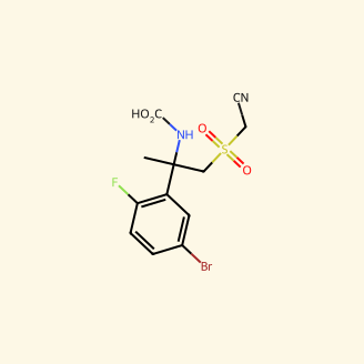 CC(CS(=O)(=O)CC#N)(NC(=O)O)c1cc(Br)ccc1F